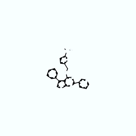 N[S+]([O-])c1ccc(CNc2nc(-c3cccnc3)nc3scc(-c4ccccc4)c23)s1